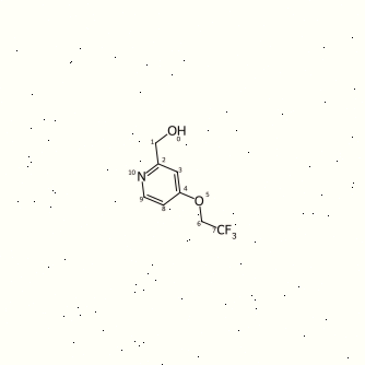 OCc1cc(OCC(F)(F)F)ccn1